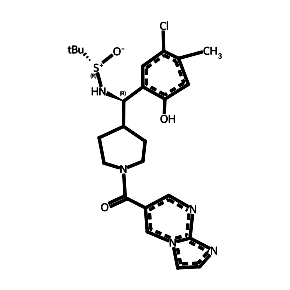 Cc1cc(O)c([C@H](N[S@@+]([O-])C(C)(C)C)C2CCN(C(=O)c3cnc4nccn4c3)CC2)cc1Cl